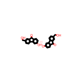 O=C1c2cc(CO)ccc2-c2cc(OBOc3ccc4c(c3)-c3ccc(CO)cc3C4=O)ccc21